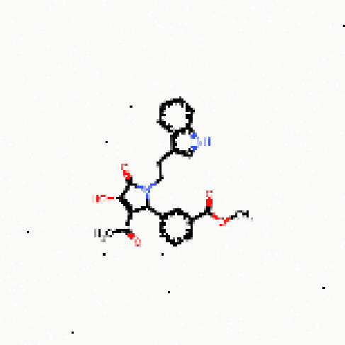 COC(=O)c1cccc(C2C(C(C)=O)=C(O)C(=O)N2CCc2c[nH]c3ccccc23)c1